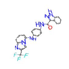 O=C(Nc1ccc(Nc2cccc3nc(C(F)(F)F)cn23)cc1)c1n[nH]c2ccccc12